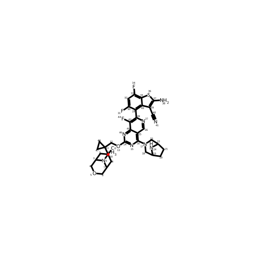 CC1CC2COCC(C1)N2CC1(COc2nc(N3CC4CCC(C3)N4)c3cnc(-c4c(F)cc(F)c5sc(N)c(C#N)c45)c(F)c3n2)CC1